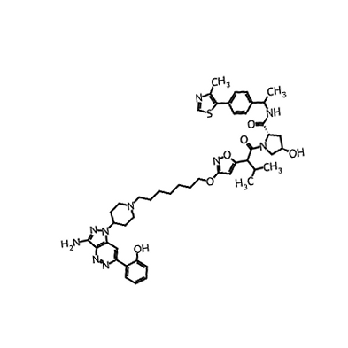 Cc1ncsc1-c1ccc(C(C)NC(=O)[C@@H]2C[C@@H](O)CN2C(=O)C(c2cc(OCCCCCCCN3CCC(n4nc(N)c5nnc(-c6ccccc6O)cc54)CC3)no2)C(C)C)cc1